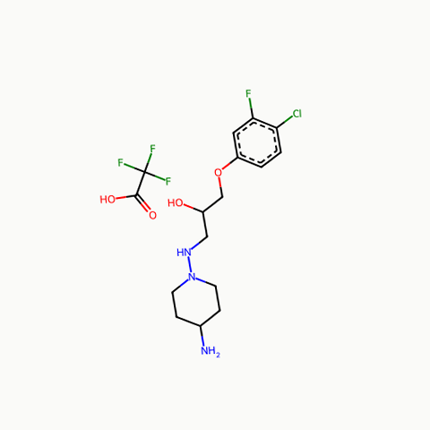 NC1CCN(NCC(O)COc2ccc(Cl)c(F)c2)CC1.O=C(O)C(F)(F)F